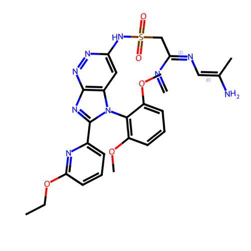 C=N/C(CS(=O)(=O)Nc1cc2c(nn1)nc(-c1cccc(OCC)n1)n2-c1c(OC)cccc1OC)=N\C=C(/C)N